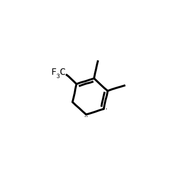 CC1=[C][C]CC(C(F)(F)F)=C1C